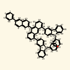 c1ccc(-c2ccc3cc(-c4c5cccc(-c6ccc7c(c6)c6ccccc6n7-c6ccccc6)c5cc5c(-c6ccc7c(c6)c6ccccc6n7-c6ccccc6)cccc45)ccc3c2)cc1